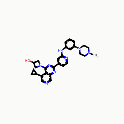 CN1CCN(c2cccc(Nc3cc(-c4nc(N5CC(O)C5)c5c(C6CC6)cncc5n4)ccn3)c2)CC1